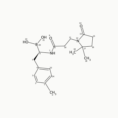 Cc1ccc(C[C@H](NC(=O)CCN2C(=O)CCC2(C)C)B(O)O)cc1